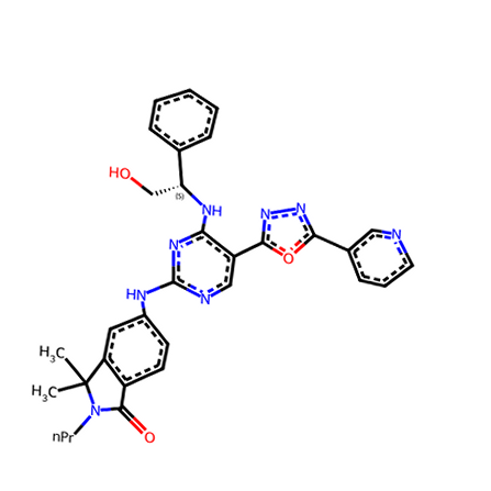 CCCN1C(=O)c2ccc(Nc3ncc(-c4nnc(-c5cccnc5)o4)c(N[C@H](CO)c4ccccc4)n3)cc2C1(C)C